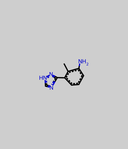 Cc1c(N)cccc1-c1nc[nH]n1